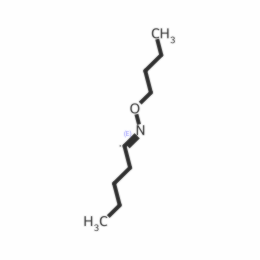 CCCC/[C]=N/OCCCC